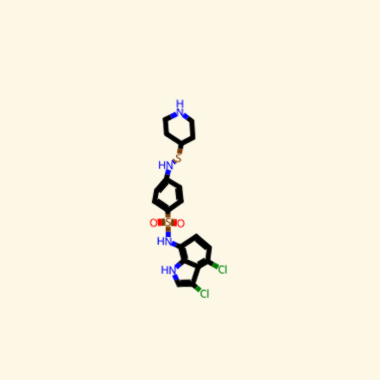 O=S(=O)(Nc1ccc(Cl)c2c(Cl)c[nH]c12)c1ccc(NSC2CCNCC2)cc1